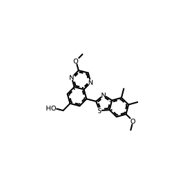 COc1cnc2c(-c3nc4c(C)c(C)c(OC)cc4s3)cc(CO)cc2n1